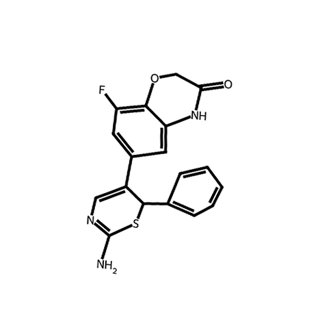 NC1=NC=C(c2cc(F)c3c(c2)NC(=O)CO3)C(c2ccccc2)S1